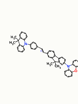 CC1(C)c2cc(/C=C/c3ccc(N4c5ccccc5C(C)(C)c5ccccc54)cc3)ccc2-c2ccc(N3c4ccccc4Oc4ccccc43)cc21